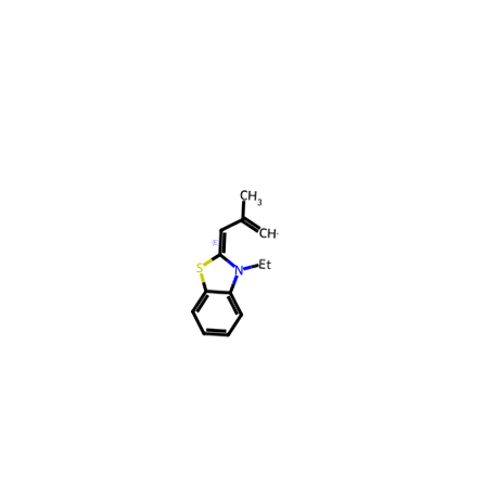 [CH]=C(C)/C=C1/Sc2ccccc2N1CC